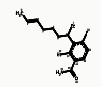 CC=CCCCC(CC)c1c(F)ccc(C(N)=O)c1CC